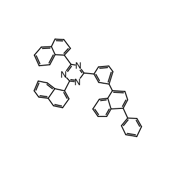 c1ccc(-c2ccc(-c3cccc(-c4nc(-c5cccc6ccccc56)nc(-c5cccc6ccccc56)n4)c3)c3ccccc23)cc1